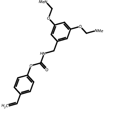 C=Cc1ccc(OC(=O)NCc2cc(OCNC)cc(OCNC)c2)cc1